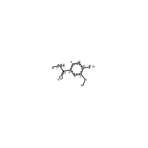 CCc1cc(C(=O)NC)ccc1F